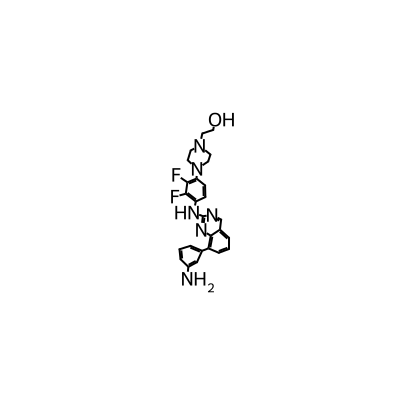 Nc1cccc(-c2cccc3cnc(Nc4ccc(N5CCN(CCO)CC5)c(F)c4F)nc23)c1